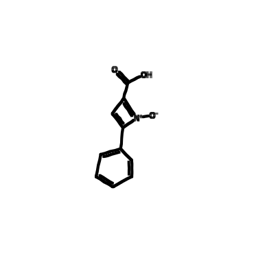 O=C(O)C1=[N+]([O-])C(c2ccccc2)=C1